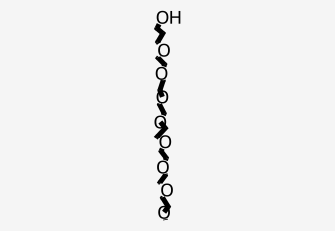 COCCOCCOCCOCCOCCOCCOCCOCCCO